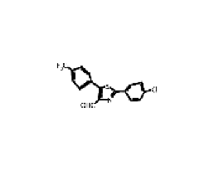 O=Cc1nc(-c2ccc(Cl)cc2)sc1-c1ccc(C(F)(F)F)cc1